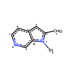 CCn1c(C=O)cc2ccncc21